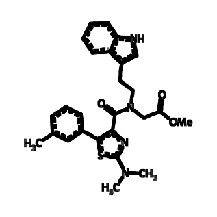 COC(=O)CN(CCc1c[nH]c2ccccc12)C(=O)c1nc(N(C)C)sc1-c1cccc(C)c1